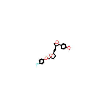 COc1ccc(C2OCC2C#CC2CC[C@@H](COc3ccc(F)cc3)O2)cc1